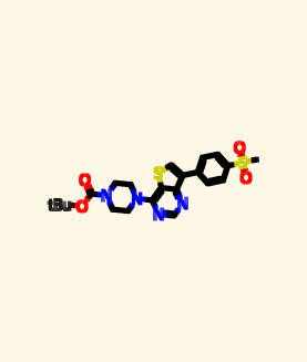 CC(C)(C)OC(=O)N1CCN(c2ncnc3c(-c4ccc(S(C)(=O)=O)cc4)csc23)CC1